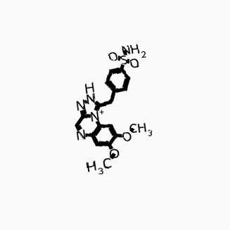 COc1cc2ncc3n[nH]c(Cc4ccc(S(N)(=O)=O)cc4)[n+]3c2cc1OC